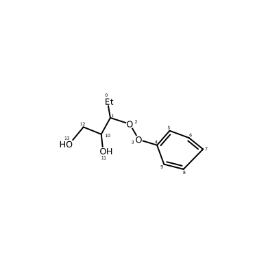 CCC(OOc1ccccc1)C(O)CO